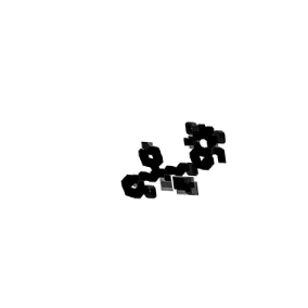 CCN1C(=O)C(C)(C)C(=O)N(C)c2cc(OCCCNC(CCn3ccccc3=O)c3ccncc3)ccc21.Cl.Cl